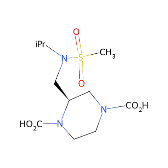 CC(C)N(C[C@H]1CN(C(=O)O)CCN1C(=O)O)S(C)(=O)=O